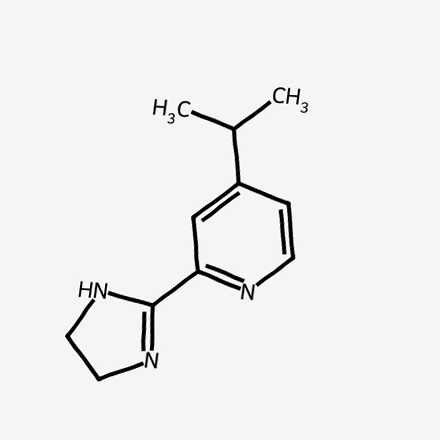 CC(C)c1ccnc(C2=NCCN2)c1